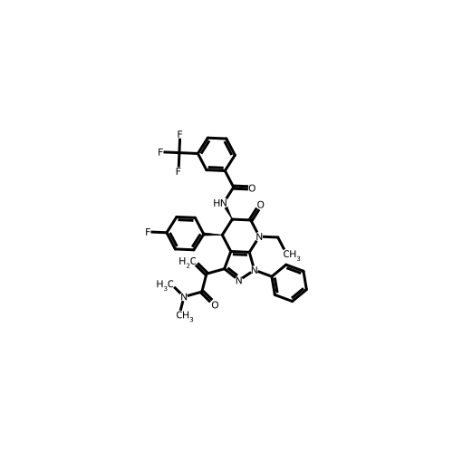 C=C(C(=O)N(C)C)c1nn(-c2ccccc2)c2c1[C@@H](c1ccc(F)cc1)[C@@H](NC(=O)c1cccc(C(F)(F)F)c1)C(=O)N2CC